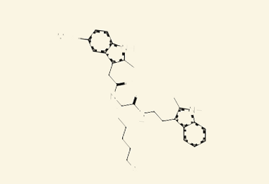 COc1ccc2[nH]c(C)c(CC(=O)N[C@@H](CCCCCC(C)=O)C(=O)NCCc3c(C)[nH]c4ccccc34)c2c1